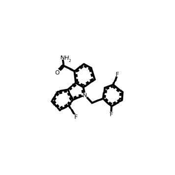 NC(=O)c1cccc2c1c1[c]ccc(F)c1n2Cc1cc(F)ccc1F